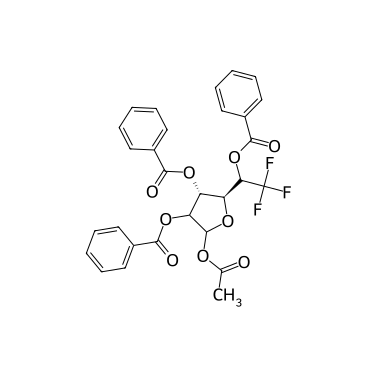 CC(=O)OC1O[C@H](C(OC(=O)c2ccccc2)C(F)(F)F)[C@@H](OC(=O)c2ccccc2)C1OC(=O)c1ccccc1